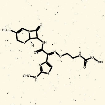 CC(C)(C)OC(=O)NCCON=C(C(=O)NC1C(=O)N2C=C(C(=O)O)CS[C@H]12)c1csc(NC=O)n1